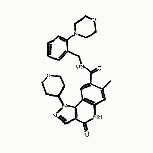 Cc1cc2[nH]c(=O)c3cnn(C4CCOCC4)c3c2cc1C(=O)NCc1ccccc1N1CCOCC1